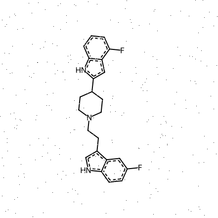 Fc1ccc2[nH]cc(CCN3CCC(c4cc5c(F)cccc5[nH]4)CC3)c2c1